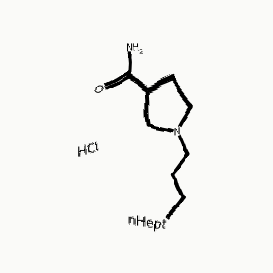 CCCCCCCCCCN1CCC(C(N)=O)C1.Cl